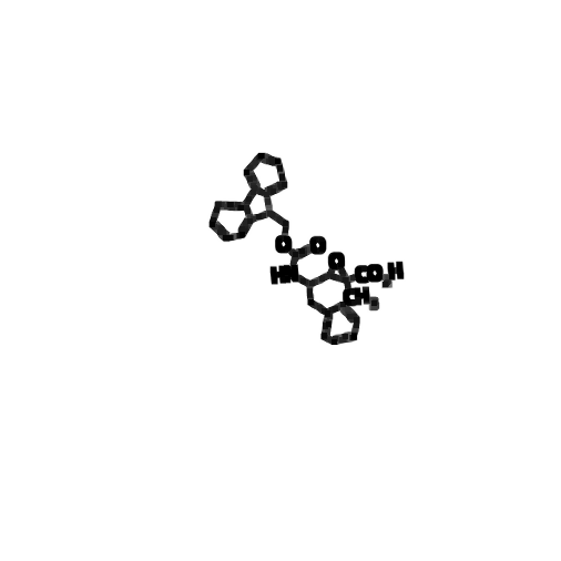 CC1(C(=O)O)OC1C(Cc1ccccc1)NC(=O)OCC1c2ccccc2-c2ccccc21